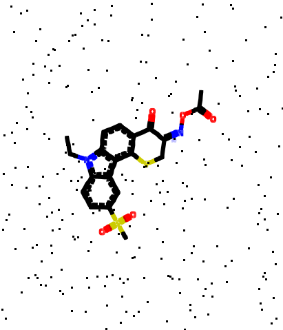 CCn1c2ccc(S(C)(=O)=O)cc2c2c3c(ccc21)C(=O)/C(=N\OC(C)=O)CS3